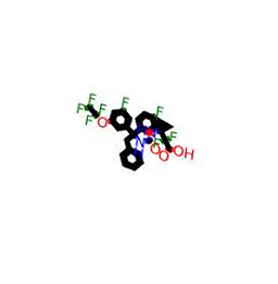 O=C(NC(Cc1ccccc1)(c1ccc(F)cc1)c1cc(F)cc(OC(F)(F)C(F)F)c1)NC1(C(F)(F)C(=O)O)CC1